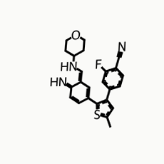 Cc1cc(-c2ccc(C#N)c(F)c2)c(C2=C/C(=C/NC3CCOCC3)C(=N)C=C2)s1